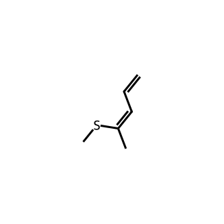 C=C/C=C(/C)SC